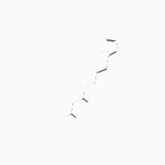 CC(=O)CC(=O)OCC=Cc1cccs1